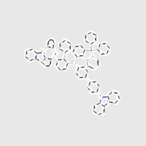 C1=CC2c3c(N(c4ccc(-c5ccc(-n6c7ccccc7c7ccccc76)cc5)cc4)c4cccc5c4-c4ccccc4C54c5ccccc5-n5c6ccccc6c6cccc4c65)cccc3C(c3ccccc3)(c3ccccc3)C2C=C1